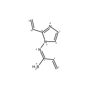 B/C(C=C)=N/n1ccnc1C=C